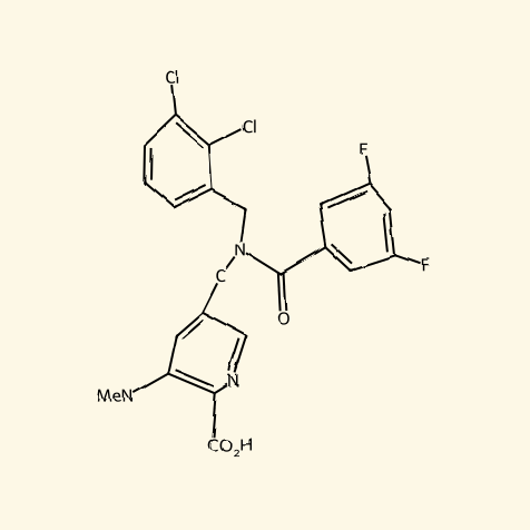 CNc1cc(CN(Cc2cccc(Cl)c2Cl)C(=O)c2cc(F)cc(F)c2)cnc1C(=O)O